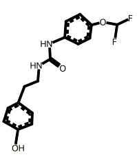 O=C(NCCc1ccc(O)cc1)Nc1ccc(OC(F)F)cc1